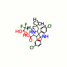 CC(C)(C)CC1NC(C(=O)O)C(c2cccc(Cl)c2)C12C(=O)Nc1cc(Cl)ccc12.O=C(O)C(F)(F)F